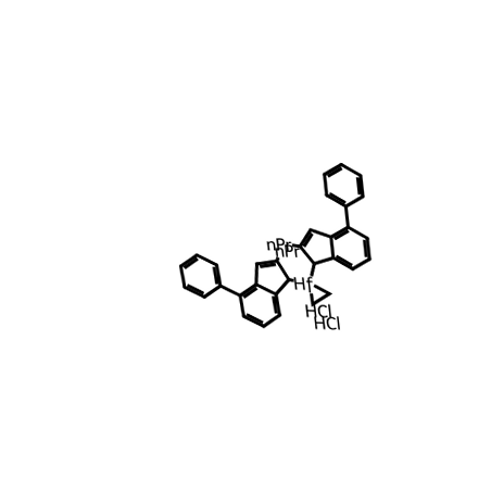 CCCC1=Cc2c(-c3ccccc3)cccc2[CH]1[Hf]1([CH]2C(CCC)=Cc3c(-c4ccccc4)cccc32)[CH2][CH2]1.Cl.Cl